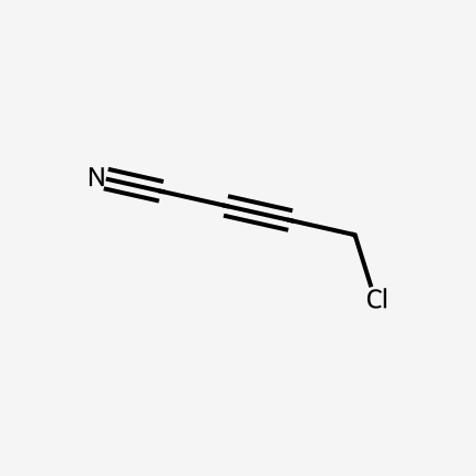 N#CC#CCCl